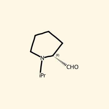 CC(C)N1CCCC[C@@H]1C=O